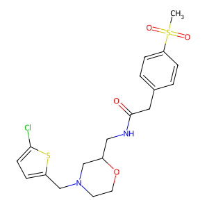 CS(=O)(=O)c1ccc(CC(=O)NCC2CN(Cc3ccc(Cl)s3)CCO2)cc1